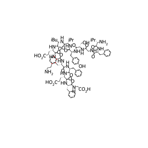 CC[C@H](C)[C@H](NC(=O)[C@@H](NC(=O)[C@H](Cc1ccc(O)cc1)NC(=O)[C@H](CO)NC(=O)CNC(=O)[C@H](Cc1ccccc1)NC(=O)[C@@H](N)C(C)C)C(C)C)C(=O)N[C@@H](CCC(=O)O)C(=O)N[C@@H](CCCCN)C(=O)N[C@@H](Cc1ccccc1)C(=O)N[C@@H](Cc1ccccc1)C(=O)N[C@@H](CCC(=O)O)C(=O)N[C@@H](Cc1ccccc1)C(=O)NCC(=O)O